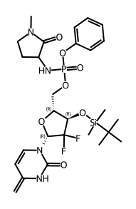 C=C1C=CN([C@@H]2O[C@H](COP(=O)(NC3CCN(C)C3=O)Oc3ccccc3)[C@@H](O[Si](C)(C)C(C)(C)C)C2(F)F)C(=O)N1